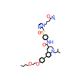 CCCCOCCOc1ccc(-c2ccc3c(c2)C=C(C(=O)Nc2ccc([S+]([O-])Cc4nccn4CCCC(=O)N(C)C)cc2)CCN3CC(C)C)cc1